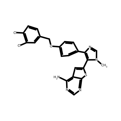 Cn1cnc(-c2ccc(OCc3ccc(Cl)c(Cl)c3)cc2)c1-c1cc2c(N)ncnc2s1